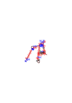 CCCC1O[C@@H]2C[C@H]3[C@@H]4C[C@H](F)C5=CC(=O)C=C[C@]5(C)[C@@]4(F)[C@@H](O)C[C@]3(C)[C@]2(C(=O)CNC(=O)OCc2ccc(NC(=O)[C@H](CCCNC(N)=O)NC(=O)[C@@H](NC(=O)[C@@H](CCCCNC(=O)COC3CCCCCc4c3nnn4CCOCCOCCOCCOCCC(=O)NCC[N+](C)(C)C)NC(=O)CCOCCOCCOCCOCCNC(=O)OC[C@@H]3[C@@H]4CCC#CCC[C@@H]43)C(C)C)cc2)O1